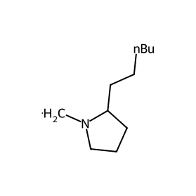 [CH2]N1CCCC1CCCCCC